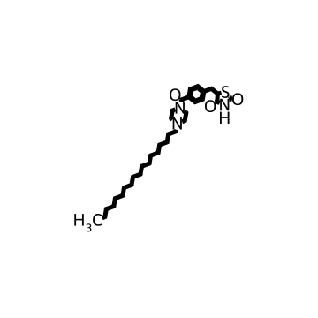 CCCCCCCCCCCCCCCCCCN1CCN(C(=O)c2ccc(CC3SC(=O)NC3=O)cc2)CC1